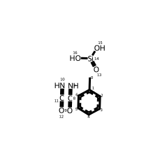 Cc1ccccc1.N=C=O.N=C=O.O=[Si](O)O